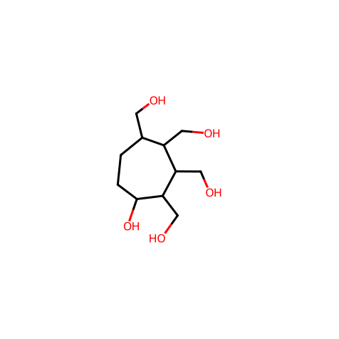 OCC1CCC(O)C(CO)C(CO)C1CO